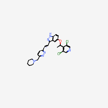 CC(Oc1ccc2[nH]nc(/C=C/c3ccc(CN4CCCCC4)nn3)c2c1)c1c(Cl)cncc1Cl